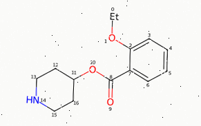 CCOc1ccccc1C(=O)OC1CCNCC1